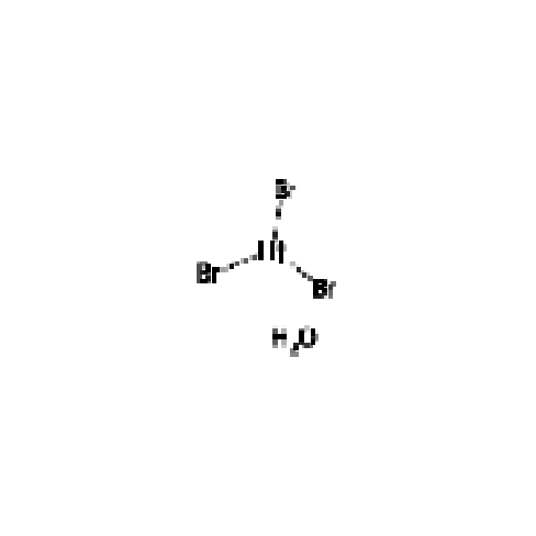 O.[Br][Hf]([Br])[Br]